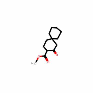 COC(=O)C1CCC2(CCCCC2)CC1=O